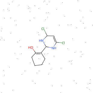 OC1=C(C2NC(Cl)=CC(Cl)N2)CCCC1